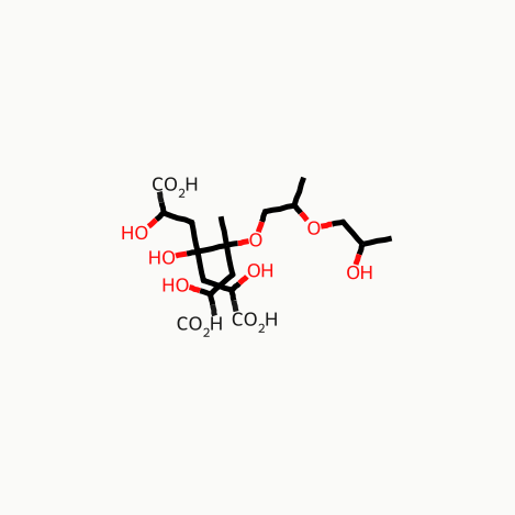 CC(O)COC(C)COC(C)(CC(O)C(=O)O)C(O)(CC(O)C(=O)O)CC(O)C(=O)O